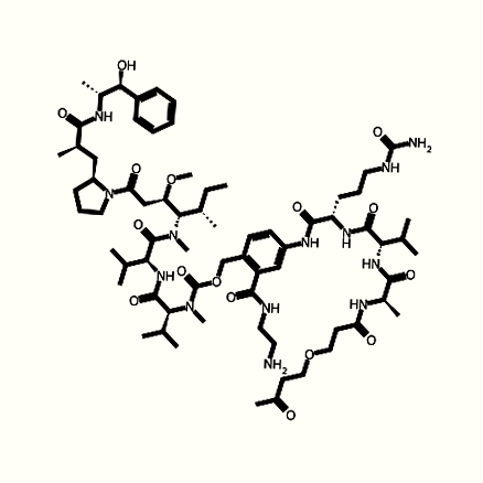 CC[C@H](C)[C@@H]([C@@H](CC(=O)N1CCC[C@H]1C[C@@H](C)C(=O)N[C@H](C)[C@@H](O)c1ccccc1)OC)N(C)C(=O)[C@@H](NC(=O)[C@H](C(C)C)N(C)C(=O)OCc1ccc(NC(=O)[C@H](CCCNC(N)=O)NC(=O)[C@@H](NC(=O)[C@@H](C)NC(=O)CCOCCC(C)=O)C(C)C)cc1C(=O)NCCN)C(C)C